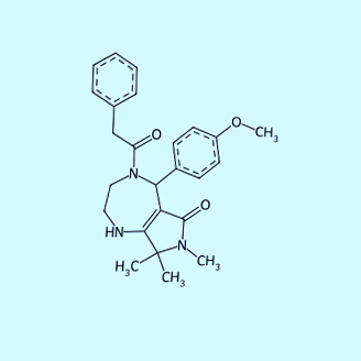 COc1ccc(C2C3=C(NCCN2C(=O)Cc2ccccc2)C(C)(C)N(C)C3=O)cc1